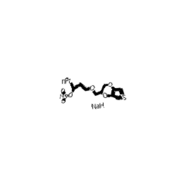 CCCC(CCOCC1COc2cscc2O1)O[SH](=O)=O.[NaH]